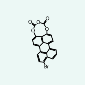 O=C1OC(=O)Oc2ccc3c4ccc(Br)c5cccc(c6ccc(c2c63)O1)c54